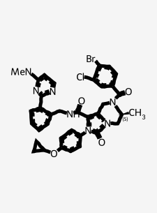 CNc1ccnc(-c2ccccc2CNC(=O)c2c3n(c(=O)n2-c2ccc(OC4CC4)cc2)C[C@H](C)N(C(=O)c2ccc(Br)c(Cl)c2)C3)n1